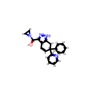 O=C(c1n[nH]c2c1C=CC(c1ccccc1)(c1ccccn1)C2)N1CC1